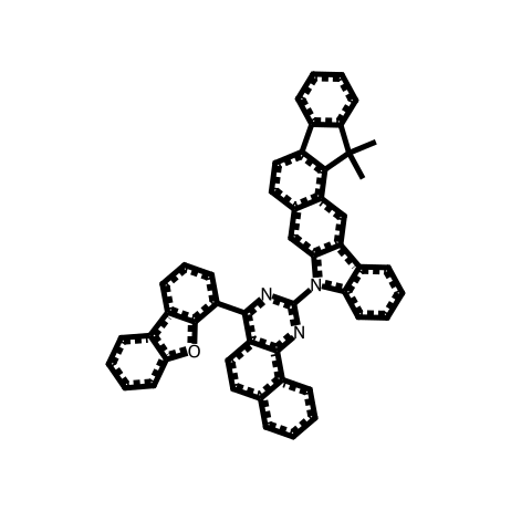 CC1(C)c2ccccc2-c2ccc3cc4c(cc3c21)c1ccccc1n4-c1nc(-c2cccc3c2oc2ccccc23)c2ccc3ccccc3c2n1